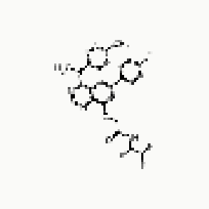 Cc1ccc(N(C)c2ncnc3c(OCC(=O)NC(F)C(F)F)cc(-c4ccc(F)cc4)cc23)nn1